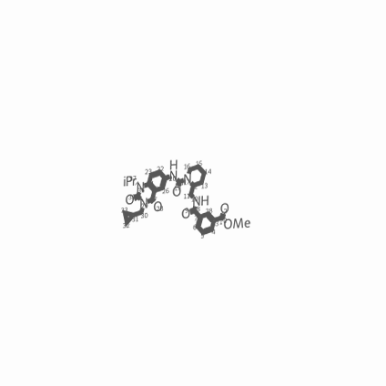 COC(=O)c1cccc(C(=O)NCC2CCCCN2C(=O)Nc2ccc3c(c2)c(=O)n(CC2CC2)c(=O)n3C(C)C)c1